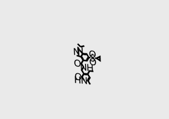 CCc1cc(C)[nH]c(=O)c1CNC(=O)c1cc(S(=O)(=O)C2CC2)cc2c1cnn2C(C)C